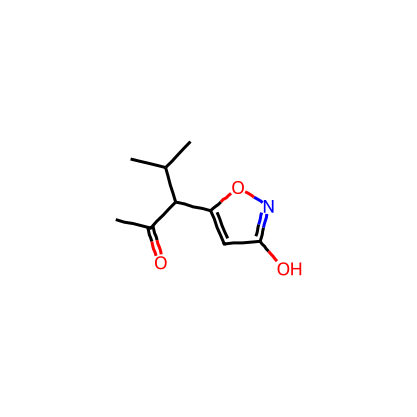 CC(=O)C(c1cc(O)no1)C(C)C